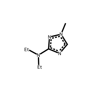 CCN(CC)c1ncn(C)n1